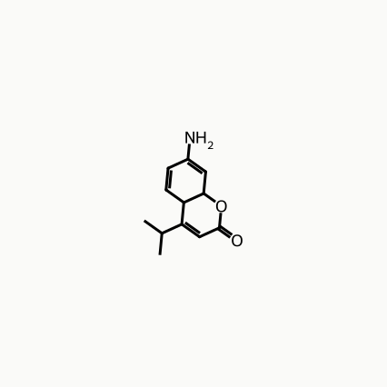 CC(C)C1=CC(=O)OC2C=C(N)C=CC12